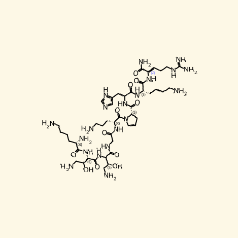 N=C(N)NCC/C=C(\NC(=O)[C@H](CCCCN)NC(=O)C(Cc1cnc[nH]1)NC(=O)[C@@H]1CCCN1C(=O)[C@@H](CCCN)NC(=O)CNC(=O)C(NC(=O)[C@@H](NC(=O)[C@@H](N)CCCCN)C(O)CN)[C@@H](O)CN)C(N)=O